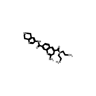 CCCN(CCN)C(=O)C1=Cc2ccc(C(=O)Nc3cnc4c(c3)CNCC4)cc2N=C(N)C1